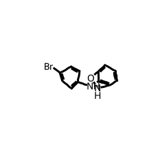 Brc1ccc(Nc2c3cccc2ON3)cc1